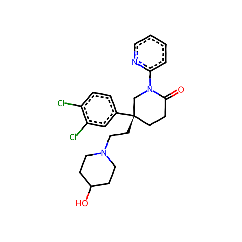 O=C1CC[C@](CCN2CCC(O)CC2)(c2ccc(Cl)c(Cl)c2)CN1c1ccccn1